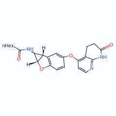 CCCCCCC(=O)N[C@@H]1[C@H]2Oc3ccc(Oc4ccnc5c4CCC(=O)N5)cc3[C@@H]12